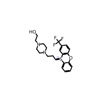 OCCN1CCN(CC/C=S2/c3ccccc3Oc3ccc(C(F)(F)F)cc32)CC1